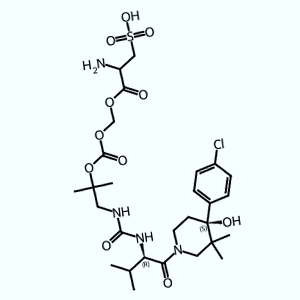 CC(C)[C@@H](NC(=O)NCC(C)(C)OC(=O)OCOC(=O)C(N)CS(=O)(=O)O)C(=O)N1CC[C@](O)(c2ccc(Cl)cc2)C(C)(C)C1